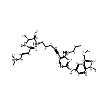 CCCNc1nc(Nc2cnc3c(c2)c(OC)nn3C)ncc1C#CCCCNC(=O)[C@H](C)N(C)C(=O)/C=C/CN(C)C